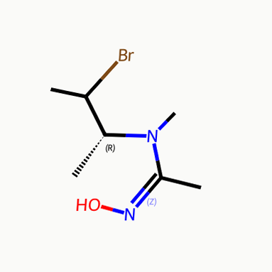 C/C(=N/O)N(C)[C@H](C)C(C)Br